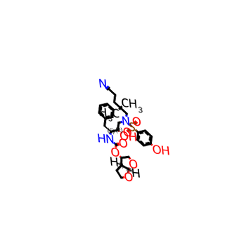 CC(C)(CCC#N)CN(C[C@@H](O)[C@H](Cc1ccccc1)NC(=O)OC1CO[C@H]2OCC[C@@H]12)S(=O)(=O)c1ccc(O)cc1